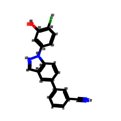 N#Cc1cccc(-c2ccc3c(cnn3-c3ccc(F)c(O)c3)c2)c1